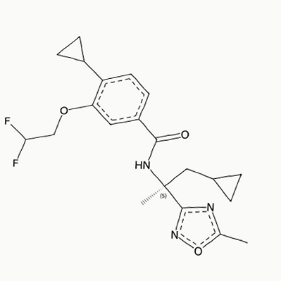 Cc1nc([C@](C)(CC2CC2)NC(=O)c2ccc(C3CC3)c(OCC(F)F)c2)no1